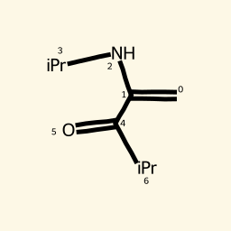 C=C(NC(C)C)C(=O)C(C)C